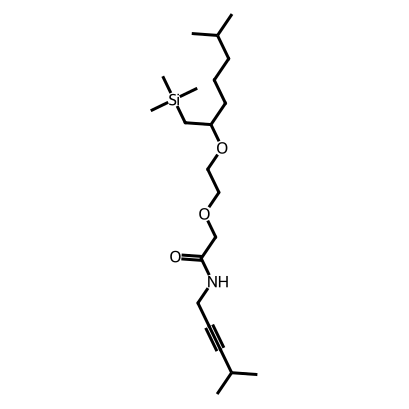 CC(C)C#CCNC(=O)COCCOC(CCCC(C)C)C[Si](C)(C)C